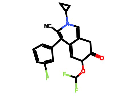 N#CC1=C(c2cccc(F)c2)C2=CC(OC(F)F)C(=O)CC2=CN1C1CC1